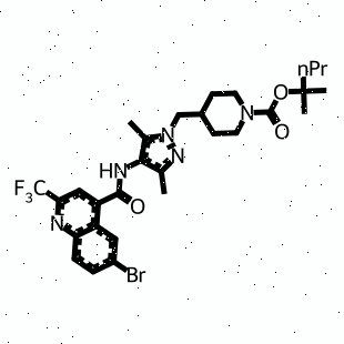 CCCC(C)(C)OC(=O)N1CCC(Cn2nc(C)c(NC(=O)c3cc(C(F)(F)F)nc4ccc(Br)cc34)c2C)CC1